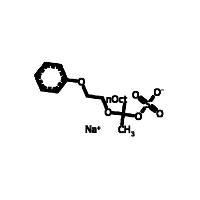 CCCCCCCCC(C)(OCCOc1ccccc1)OS(=O)(=O)[O-].[Na+]